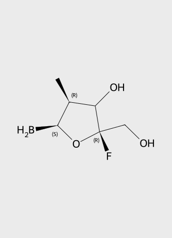 B[C@@H]1O[C@@](F)(CO)C(O)[C@@H]1C